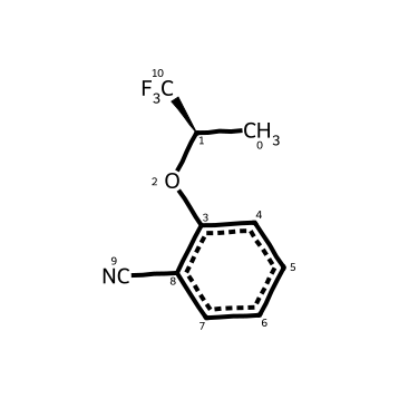 C[C@@H](Oc1ccccc1C#N)C(F)(F)F